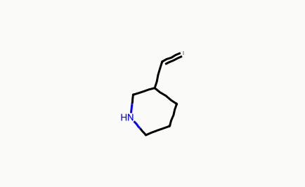 [C]=CC1CCCNC1